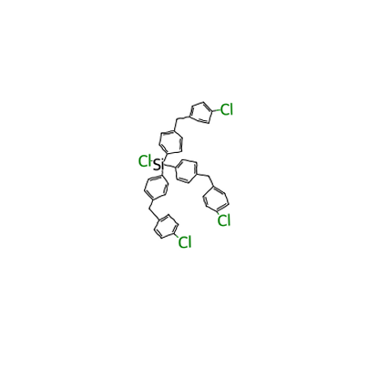 Clc1ccc(Cc2ccc([Si](Cl)(c3ccc(Cc4ccc(Cl)cc4)cc3)c3ccc(Cc4ccc(Cl)cc4)cc3)cc2)cc1